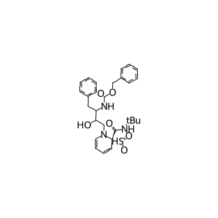 CC(C)(C)NC(=O)[C@@]1([SH](=O)=O)C=CC=CN1CC(O)C(Cc1ccccc1)NC(=O)OCc1ccccc1